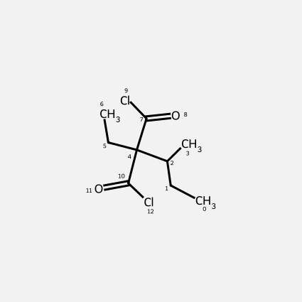 CCC(C)C(CC)(C(=O)Cl)C(=O)Cl